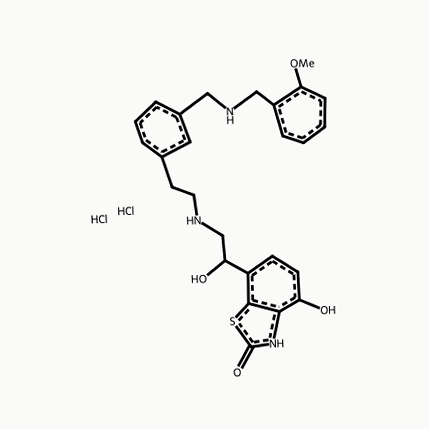 COc1ccccc1CNCc1cccc(CCNCC(O)c2ccc(O)c3[nH]c(=O)sc23)c1.Cl.Cl